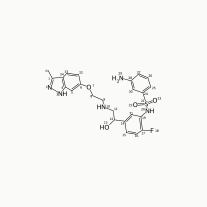 Cc1n[nH]c2cc(OCCNCC(O)c3ccc(F)c(NS(=O)(=O)c4cccc(N)c4)c3)ccc12